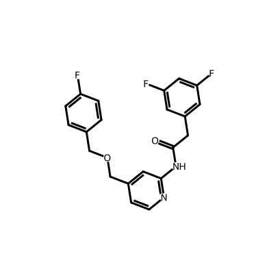 O=C(Cc1cc(F)cc(F)c1)Nc1cc(COCc2ccc(F)cc2)ccn1